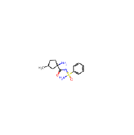 CC1CCC(N)(C(=O)N=S(N)(=O)c2ccccc2)C1